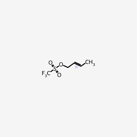 C/C=C/COS(=O)(=O)C(F)(F)F